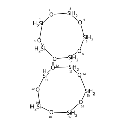 O1[SiH2]O[SiH2]O[SiH2]O[SiH2]O[SiH2]1.O1[SiH2]O[SiH2]O[SiH2]O[SiH2]O[SiH2]1